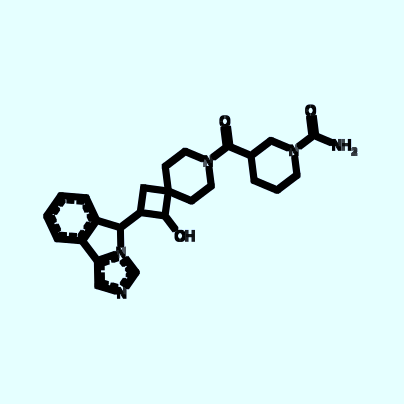 NC(=O)N1CCCC(C(=O)N2CCC3(CC2)CC(C2c4ccccc4-c4cncn42)C3O)C1